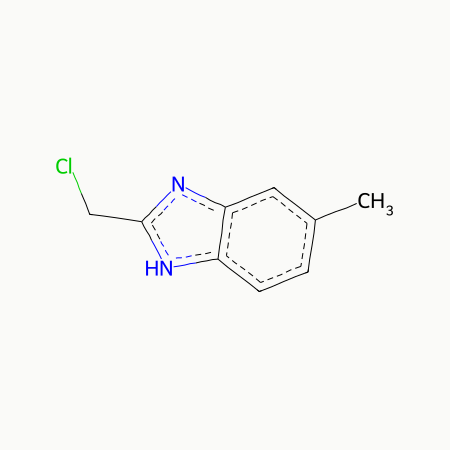 Cc1ccc2[nH]c(CCl)nc2c1